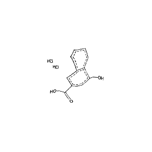 Cl.Cl.O=C(O)c1cc(O)c2ccccc2c1